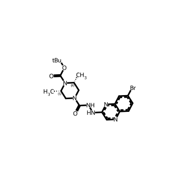 C[C@@H]1CN(C(=O)NNc2cnc3ccc(Br)cc3n2)C[C@H](C)N1C(=O)OC(C)(C)C